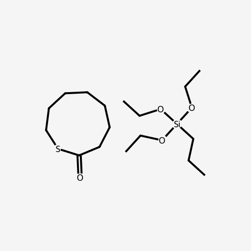 CCC[Si](OCC)(OCC)OCC.O=C1CCCCCCCS1